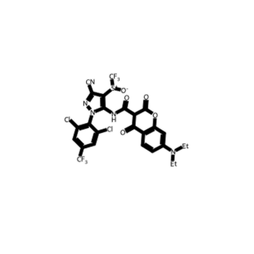 CCN(CC)c1ccc2c(c1)OC(=O)C(C(=O)Nc1c([S+]([O-])C(F)(F)F)c(C#N)nn1-c1c(Cl)cc(C(F)(F)F)cc1Cl)C2=O